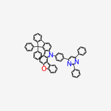 c1ccc(-c2cc(-c3ccc(-n4c5ccc6c(c5c5ccc7oc8ccccc8c7c54)C(c4ccccc4)(c4ccccc4)c4ccccc4-6)cc3)nc(-c3ccccc3)n2)cc1